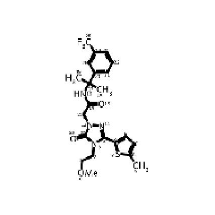 COCCn1c(-c2ccc(C)s2)nn(CC(=O)NC(C)(C)c2cccc(C(F)(F)F)c2)c1=O